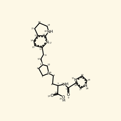 O=C(NC(CCN1CC[C@@H](CCc2ccc3c(n2)NCCC3)C1)C(=O)O)c1cnccn1